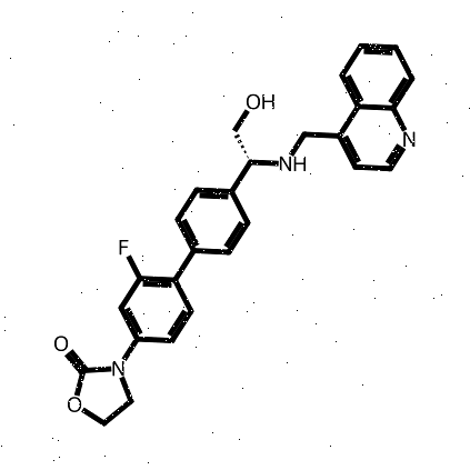 O=C1OCCN1c1ccc(-c2ccc([C@H](CO)NCc3ccnc4ccccc34)cc2)c(F)c1